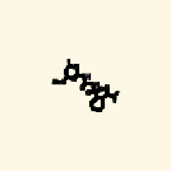 COc1cc(C)nc(NC(=O)NS(=O)(=O)c2ccccc2C(=O)N(C)C)n1